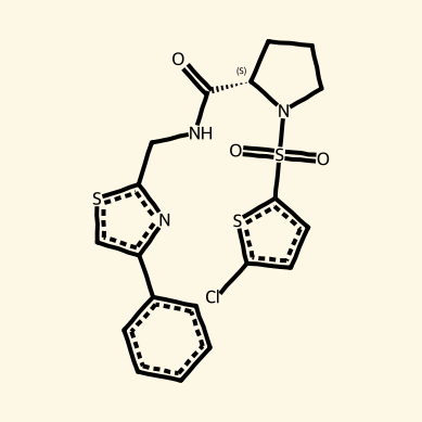 O=C(NCc1nc(-c2ccccc2)cs1)[C@@H]1CCCN1S(=O)(=O)c1ccc(Cl)s1